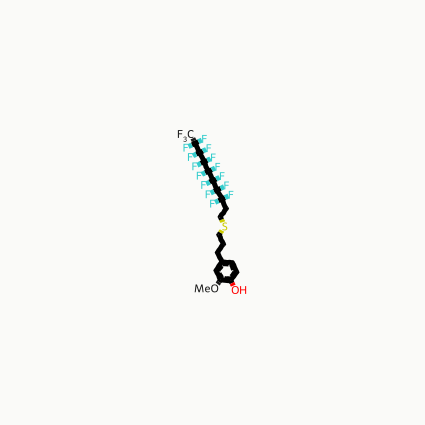 COc1cc(CCCSCCC(F)(F)C(F)(F)C(F)(F)C(F)(F)C(F)(F)C(F)(F)C(F)(F)C(F)(F)F)ccc1O